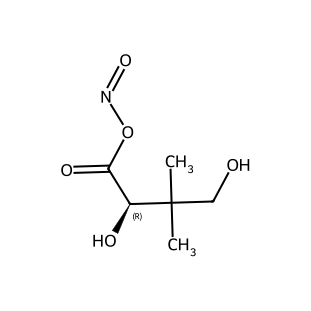 CC(C)(CO)[C@@H](O)C(=O)ON=O